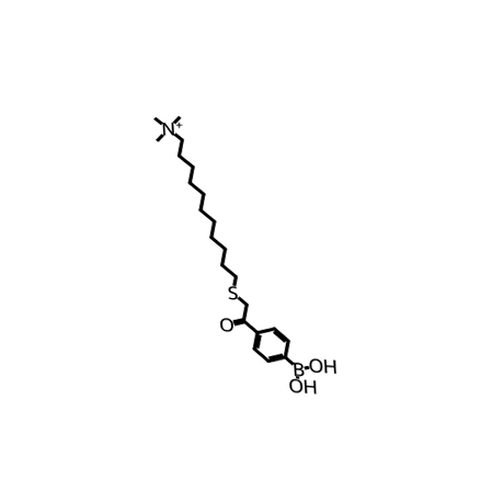 C[N+](C)(C)CCCCCCCCCCCSCC(=O)c1ccc(B(O)O)cc1